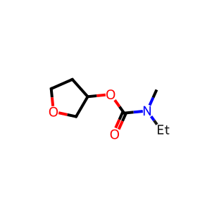 [CH2]CN(C)C(=O)OC1CCOC1